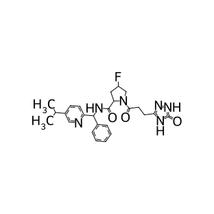 CC(C)c1ccc(C(NC(=O)C2CC(F)CN2C(=O)CCc2n[nH]c(=O)[nH]2)c2ccccc2)nc1